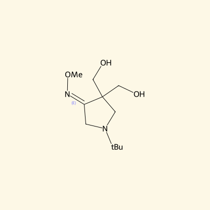 CO/N=C1/CN(C(C)(C)C)CC1(CO)CO